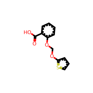 O=C(O)c1ccccc1OCOc1cccs1